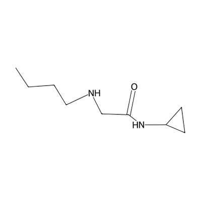 CCCCNCC(=O)NC1CC1